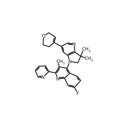 Cc1c(-c2ccccn2)nc2cc(F)ccc2c1N1CC(C)(C)c2ncc(C3=CCOCC3)cc21